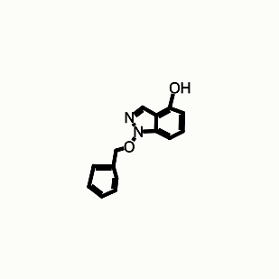 Oc1cccc2c1cnn2OCc1ccccc1